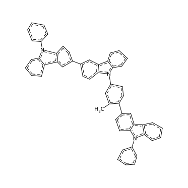 Cc1cc(-n2c3ccccc3c3cc(-c4ccc5c(c4)c4ccccc4n5-c4ccccc4)ccc32)ccc1-c1ccc2c(c1)c1ccccc1n2-c1ccccc1